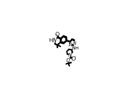 CC(C)(C)OC(=O)N1CCC[C@H](Nc2nccc(-c3ccc4c(c3)C(C)(C)CNC4=O)n2)C1